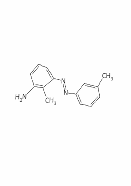 Cc1cccc(N=Nc2cccc(N)c2C)c1